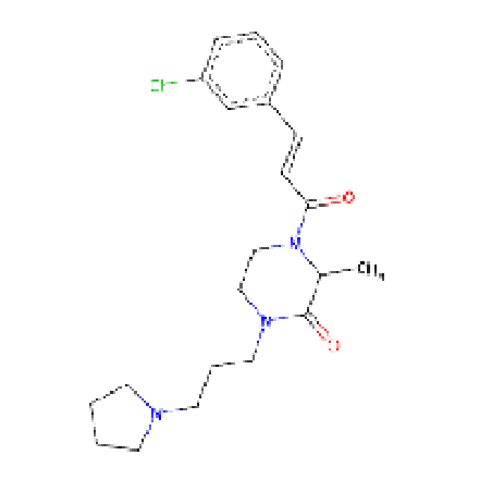 CC1C(=O)N(CCCN2CCCC2)CCN1C(=O)C=Cc1cccc(Cl)c1